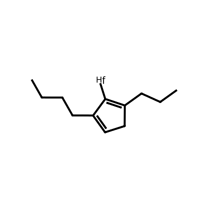 CCCCC1=CCC(CCC)=[C]1[Hf]